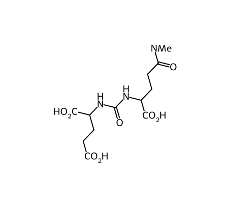 CNC(=O)CCC(NC(=O)NC(CCC(=O)O)C(=O)O)C(=O)O